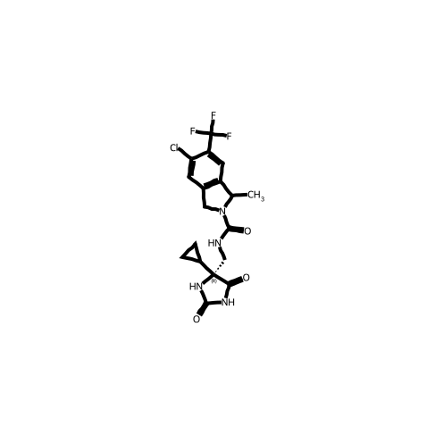 CC1c2cc(C(F)(F)F)c(Cl)cc2CN1C(=O)NC[C@@]1(C2CC2)NC(=O)NC1=O